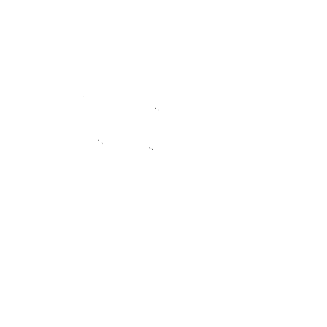 Fc1cc(-c2nc(-c3ccccn3)no2)cc(F)c1F